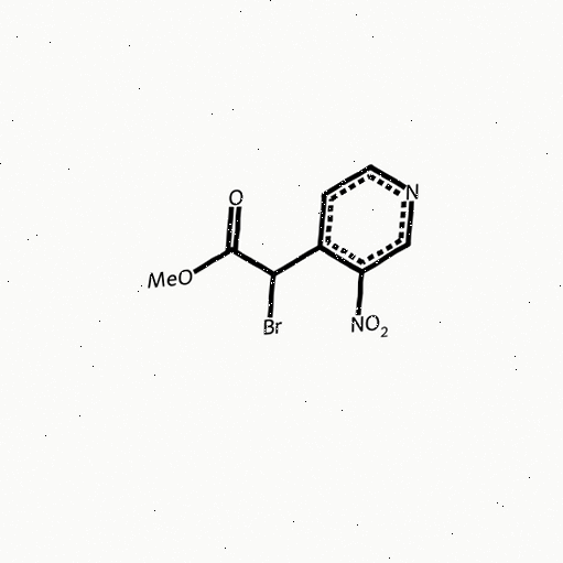 COC(=O)C(Br)c1ccncc1[N+](=O)[O-]